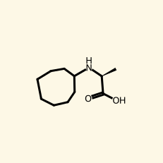 C[C@H](NC1CCCCCCC1)C(=O)O